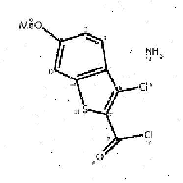 COc1ccc2c(Cl)c(C(=O)Cl)sc2c1.N